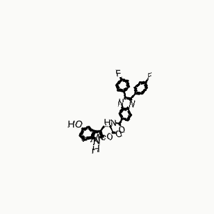 COC(=O)[C@H](Cc1c[nH]c2ccc(O)cc12)NC(=O)c1ccc2nc(-c3ccc(F)cc3)c(-c3ccc(F)cc3)nc2c1